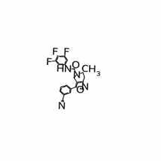 CC1Cc2noc(-c3cccc(C#N)c3)c2CN1C(=O)Nc1cc(F)c(F)c(F)c1